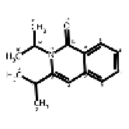 CC(C)c1cc2ccccc2c(=O)n1C(C)C